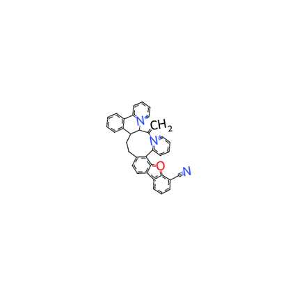 C=C1C2C(CCc3ccc4c(oc5c(C#N)cccc54)c3-c3cccc[n+]31)c1ccccc1-c1cccc[n+]12